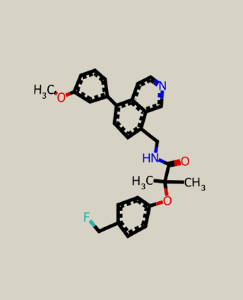 COc1cccc(-c2ccc(CNC(=O)C(C)(C)Oc3ccc(CF)cc3)c3cnccc23)c1